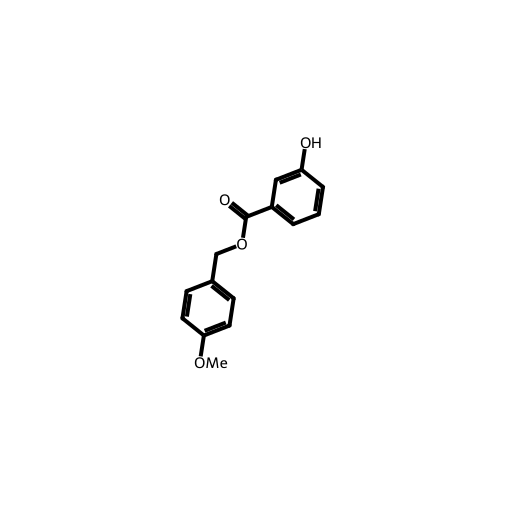 COc1ccc(COC(=O)c2cccc(O)c2)cc1